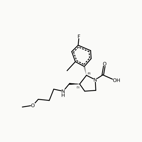 COCCCNC[C@@H]1CCN(C(=O)O)[C@H]1c1ccc(F)cc1C